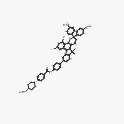 CCCCC[C@H]1CC[C@H](c2ccc(C(=O)Nc3ccc(-c4ccc5c(c4)-c4c(c6c(c7c(F)cc(F)cc47)OC(c4ccc(OC)cc4)(c4ccc(OC)cc4)C=C6)C5(C)C)cc3)cc2)CC1